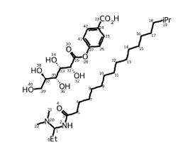 CCC(NC(=O)CCCCCCCCCCCCCCC(C)C)N(C)C.O=C(O)c1ccc(OC(=O)[C@H](O)[C@@H](O)[C@H](O)[C@H](O)CO)cc1